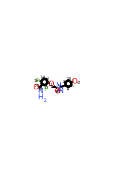 COc1ccc(-c2noc(COc3ccc(F)c(C(N)=O)c3F)n2)cc1